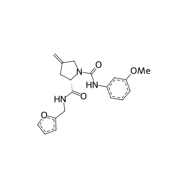 C=C1C[C@@H](C(=O)NCc2ccco2)N(C(=O)Nc2cccc(OC)c2)C1